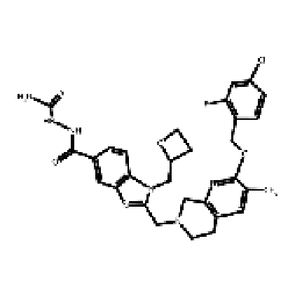 NC(=S)NNC(=O)c1ccc2c(c1)nc(CN1CCc3cc(C(F)(F)F)c(OCc4ccc(Cl)cc4F)nc3C1)n2C[C@@H]1CCO1